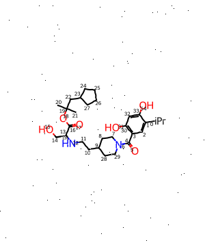 CC(C)c1cc(C(=O)N2CCC(CCN[C@@H](CO)C(=O)OC(C)(C)CC3CCCC3)CC2)c(O)cc1O